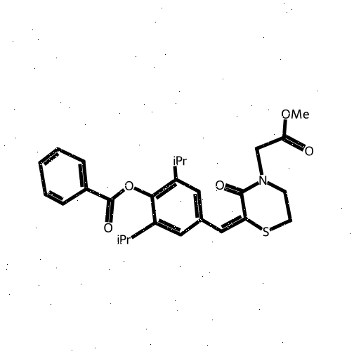 COC(=O)CN1CCS/C(=C/c2cc(C(C)C)c(OC(=O)c3ccccc3)c(C(C)C)c2)C1=O